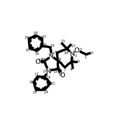 CCON1C(C)(C)CC2(CC1(C)C)C(=O)N(c1ccccc1)C(=O)N2Cc1ccccc1